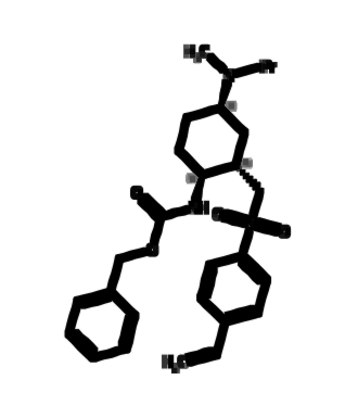 C=Cc1ccc(S(=O)(=O)C[C@H]2C[C@H](N(C)C(C)C)CC[C@@H]2NC(=O)OCc2ccccc2)cc1